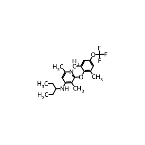 CCC(CC)Nc1cc(C)nc(Oc2c(C)cc(OC(F)(F)F)cc2C)c1C